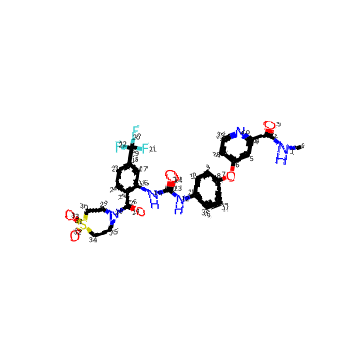 CNC(=O)c1cc(Oc2ccc(NC(=O)Nc3cc(C(F)(F)F)ccc3C(=O)N3CCS(=O)(=O)CC3)cc2)ccn1